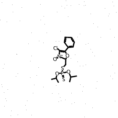 CC(C)OP(=S)(OC(C)C)SCC1OC(c2ccccc2)=C(Cl)[N+]1=O